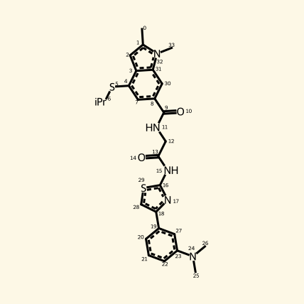 Cc1cc2c(SC(C)C)cc(C(=O)NCC(=O)Nc3nc(-c4cccc(N(C)C)c4)cs3)cc2n1C